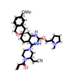 C=CC(=O)N1CCN(C2NC(OCC3CCCN3C)NC3C[C@]4(CCC32)Cc2cc(OC)ccc2CO4)CC1CC#N